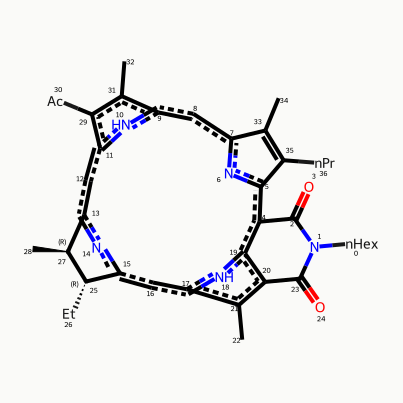 CCCCCCN1C(=O)c2c3nc(cc4[nH]c(cc5nc(cc6[nH]c2c(c6C)C1=O)[C@H](CC)[C@H]5C)c(C(C)=O)c4C)C(C)=C3CCC